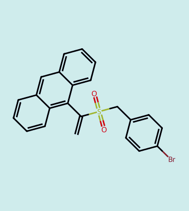 C=C(c1c2ccccc2cc2ccccc12)S(=O)(=O)Cc1ccc(Br)cc1